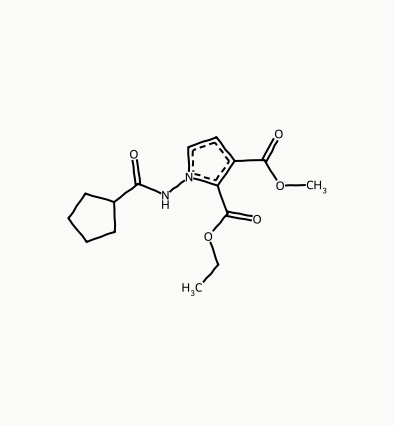 CCOC(=O)c1c(C(=O)OC)ccn1NC(=O)C1CCCC1